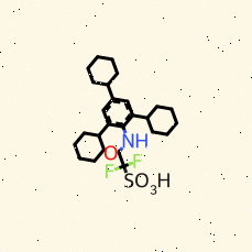 O=C(Nc1c(C2CCCCC2)cc(C2CCCCC2)cc1C1CCCCC1)C(F)(F)S(=O)(=O)O